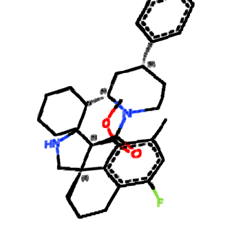 COc1c(C)cc(F)c2c1[C@]1(CCC2)CNC[C@H]1C(=O)N1CC[C@@H](c2ccccc2)C[C@H]1C1CCCCC1